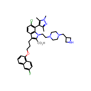 Cc1nn(C)c(C)c1-c1c(Cl)ccc2c(CCCOc3cccc4cc(F)ccc34)c(C(=O)O)n(CCN3CCN(CC4CNC4)CC3)c12